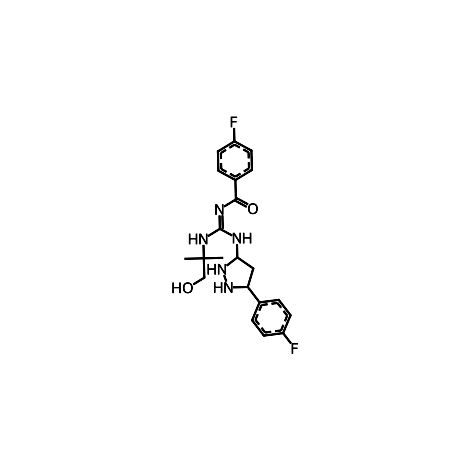 CC(C)(CO)N/C(=N/C(=O)c1ccc(F)cc1)NC1CC(c2ccc(F)cc2)NN1